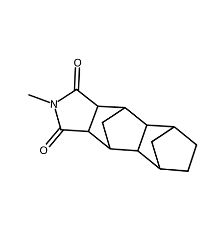 CN1C(=O)C2C3CC(C2C1=O)C1C2CCC(C2)C31